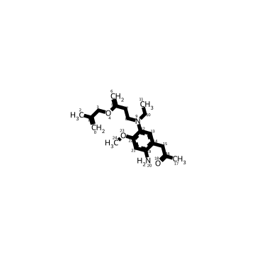 C=C(C)COC(=C)CCN(CC)c1cc(CC(C)=O)c(N)cc1OC